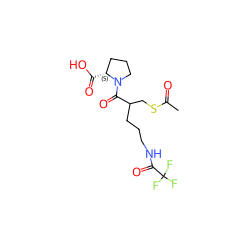 CC(=O)SCC(CCCNC(=O)C(F)(F)F)C(=O)N1CCC[C@H]1C(=O)O